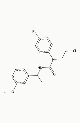 COc1cccc(C(C)NC(=O)N(CCCl)c2ccc(Br)cc2)c1